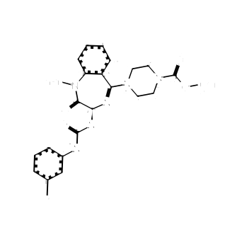 CCCN1C(=O)[C@H](NC(=O)Nc2cccc(C)c2)N=C(N2CCN(C(=O)OC(C)(C)C)CC2)c2ccccc21